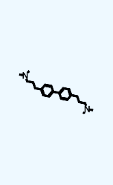 CN(C)CCCc1ccc(-c2ccc(CCCN(C)C)cc2)cc1